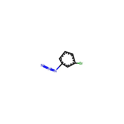 [N-]=[N+]=Nc1cccc(Br)c1